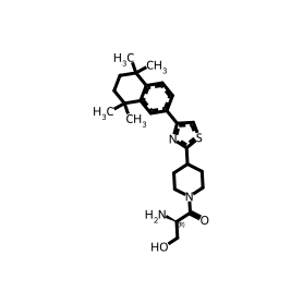 CC1(C)CCC(C)(C)c2cc(-c3csc(C4CCN(C(=O)[C@H](N)CO)CC4)n3)ccc21